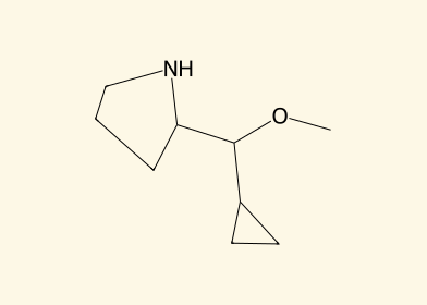 COC(C1CC1)C1CCCN1